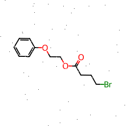 O=C(CCCBr)OCCOc1ccccc1